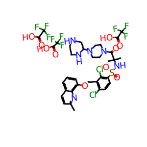 Cc1ccc2cccc(OCc3c(Cl)ccc(S(=O)(=O)NC(C)(C)C(=O)N4CCN(C5CNCCN5)CC4)c3Cl)c2n1.O=C(O)C(F)(F)F.O=C(O)C(F)(F)F.O=C(O)C(F)(F)F